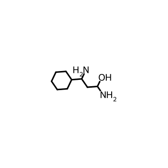 NC(O)CC(N)C1CCCCC1